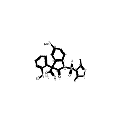 CCOc1ccccc1C1(C(N)=O)C(=O)N(S(=O)(=O)c2c(C)noc2C)c2ccc(OC)cc21